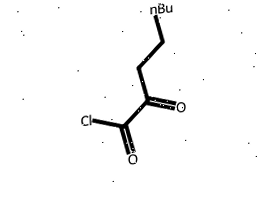 CCCCCCC(=O)C(=O)Cl